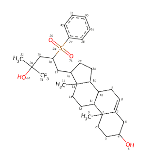 CC12CCC(O)CC1=CCC1C2CCC2(C)C(CC(CC(C)(O)C(F)(F)F)S(=O)(=O)c3ccccc3)CCC12